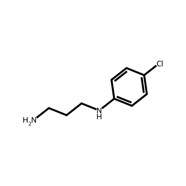 NCCCNc1ccc(Cl)cc1